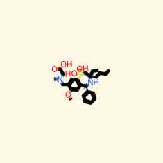 CCCC[C@]1(CC)CS(O)(O)c2cc(CN(C)CC(=O)O)c(OC)cc2[C@@H](c2ccccc2)N1